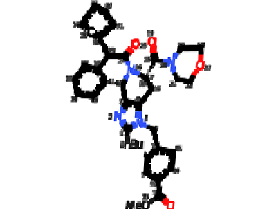 CCCCc1nc2c(n1Cc1ccc(C(=O)OC)cc1)C[C@@H](C(=O)N1CCOCC1)N(C(=O)C(c1ccccc1)c1ccccc1)C2